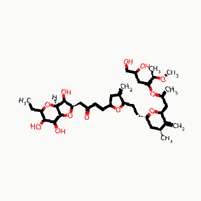 C=C1CC(CCC(=O)C[C@H]2OC3C(O)C(O)C(CC)O[C@H]3C2O)OC1CC[C@H]1C[C@@H](C)C(=C)C(CC(C)OC(CC(O)CO)[C@@H](C)OC)O1